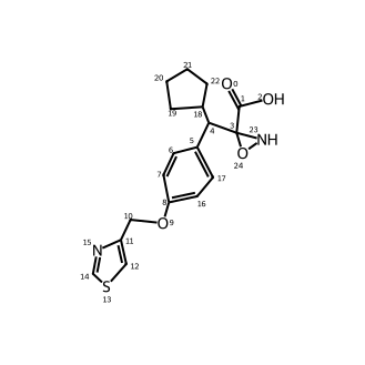 O=C(O)C1(C(c2ccc(OCc3cscn3)cc2)C2CCCC2)NO1